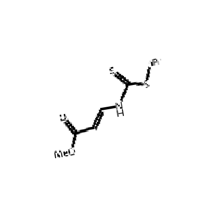 CCCSC(=S)NC=CC(=O)OC